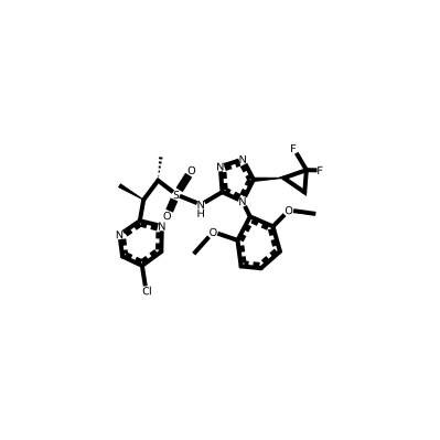 COc1cccc(OC)c1-n1c(NS(=O)(=O)[C@@H](C)[C@H](C)c2ncc(Cl)cn2)nnc1[C@@H]1CC1(F)F